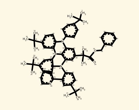 CC(C)(C)c1ccc(N2c3ccc(C(C)(C)C)cc3B3c4cc(C(C)(C)C)ccc4N(c4ccc(C(C)(C)C)cc4-c4ccccn4)c4cc(C(C)(C)C(=O)OCc5ccccc5)cc2c43)cc1